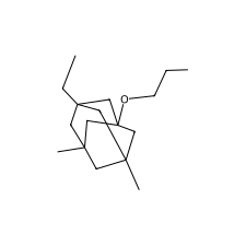 CCCOC12CC3(C)CC(C)(CC(CC)(C3)C1)C2